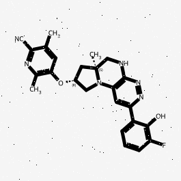 Cc1cc(O[C@H]2CN3c4cc(-c5cccc(F)c5O)nnc4NC[C@]3(C)C2)c(C)nc1C#N